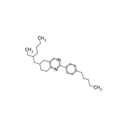 CCCCCc1ccc(-c2ncc3c(n2)CCC(CC(CC)CCCC)C3)cc1